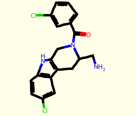 NCC1Cc2c([nH]c3ccc(Cl)cc23)CN1C(=O)c1cccc(Cl)c1